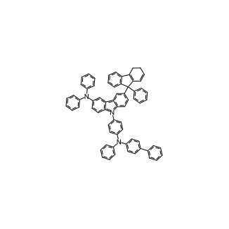 C1=CC2=C(CC1)c1ccccc1C2(c1ccccc1)c1ccc2c(c1)c1cc(N(c3ccccc3)c3ccccc3)ccc1n2-c1ccc(N(c2ccccc2)c2ccc(-c3ccccc3)cc2)cc1